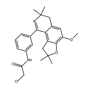 COc1cc2c(c3c1OC(C)(C)C3)C(c1cccc(NC(=O)CCl)c1)=NC(C)(C)C2